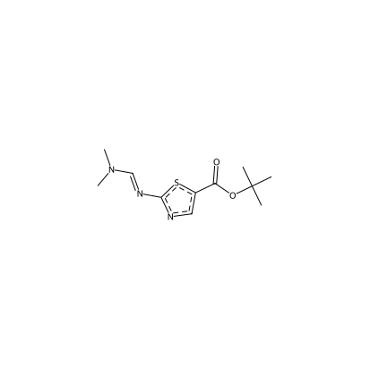 CN(C)C=Nc1ncc(C(=O)OC(C)(C)C)s1